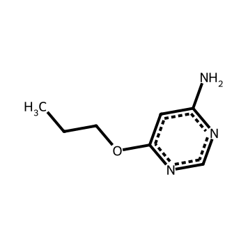 CCCOc1cc(N)ncn1